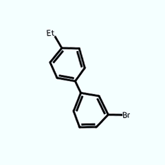 [CH2]Cc1ccc(-c2cccc(Br)c2)cc1